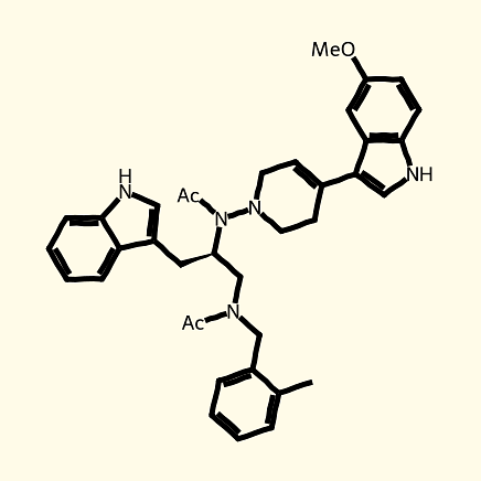 COc1ccc2[nH]cc(C3=CCN(N(C(C)=O)[C@H](Cc4c[nH]c5ccccc45)CN(Cc4ccccc4C)C(C)=O)CC3)c2c1